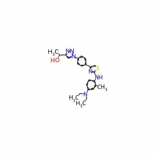 CCN(CC)c1ccc(Nc2nc(-c3ccc(-n4cc(C(C)O)nn4)cc3)cs2)c(C)c1